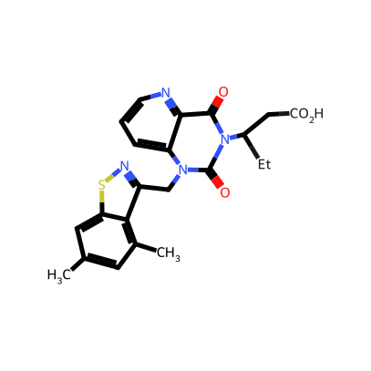 CCC(CC(=O)O)n1c(=O)c2ncccc2n(Cc2nsc3cc(C)cc(C)c23)c1=O